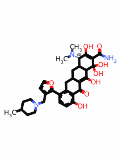 CC1CCN(Cc2ccoc2-c2ccc(O)c3c2CC2CC4C(C(O)=C2C3=O)C(O)(O)C(C(N)=O)=C(O)[C@H]4N(C)C)CC1